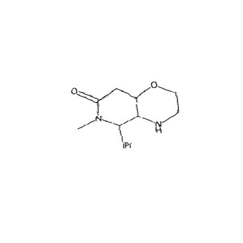 CC(C)C1C2NCCOC2CC(=O)N1C